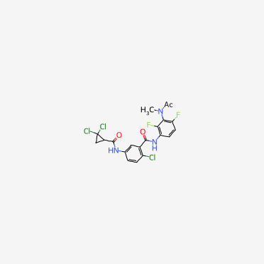 CC(=O)N(C)c1c(F)ccc(NC(=O)c2cc(NC(=O)C3CC3(Cl)Cl)ccc2Cl)c1F